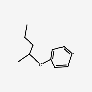 CCCC(C)Oc1cc[c]cc1